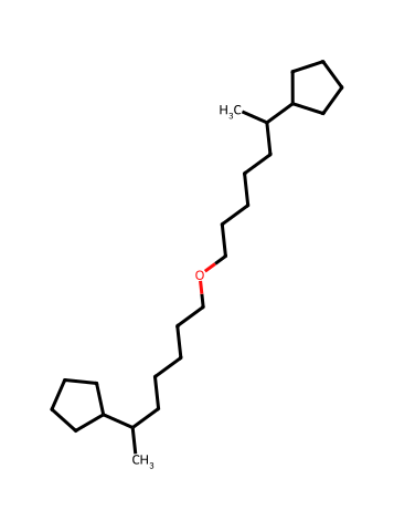 CC(CCCCCOCCCCCC(C)C1CCCC1)C1CCCC1